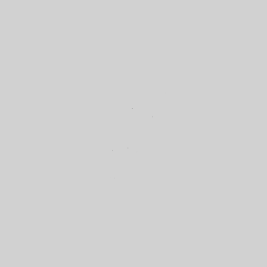 CCCC(C)(C)OOOC(=O)c1ccccc1C